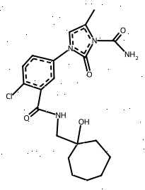 Cc1cn(-c2ccc(Cl)c(C(=O)NCC3(O)CCCCCC3)c2)c(=O)n1C(N)=O